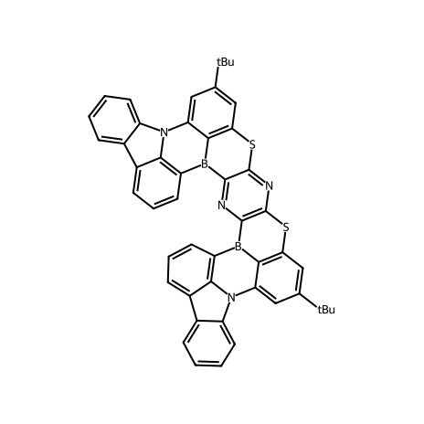 CC(C)(C)c1cc2c3c(c1)-n1c4ccccc4c4cccc(c41)B3c1nc3c(nc1S2)Sc1cc(C(C)(C)C)cc2c1B3c1cccc3c4ccccc4n-2c13